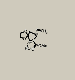 C=C[C@@H]1CN(C(=O)OC)[C@H](CO)C2(C1)OCCO2